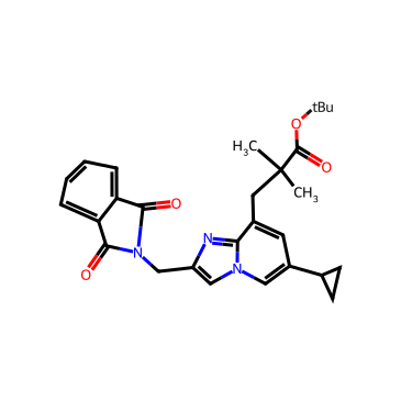 CC(C)(C)OC(=O)C(C)(C)Cc1cc(C2CC2)cn2cc(CN3C(=O)c4ccccc4C3=O)nc12